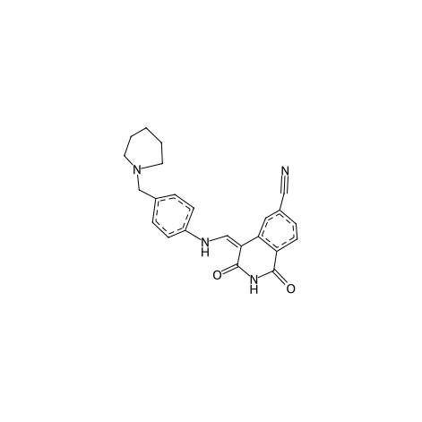 N#Cc1ccc2c(c1)/C(=C/Nc1ccc(CN3CCCCC3)cc1)C(=O)NC2=O